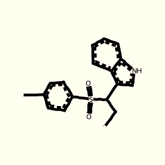 [CH2]CC(c1c[nH]c2ccccc12)S(=O)(=O)c1ccc(C)cc1